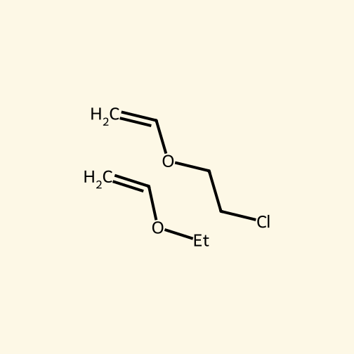 C=COCC.C=COCCCl